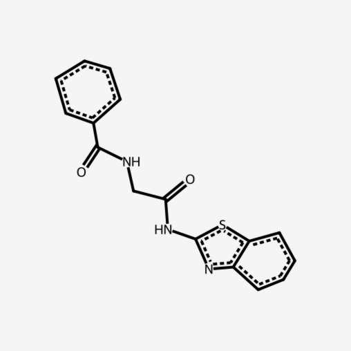 O=C(CNC(=O)c1ccccc1)Nc1nc2ccccc2s1